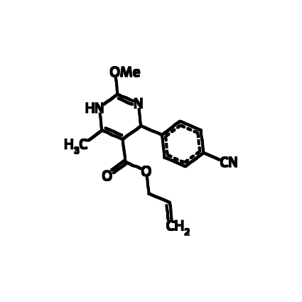 C=CCOC(=O)C1=C(C)NC(OC)=NC1c1ccc(C#N)cc1